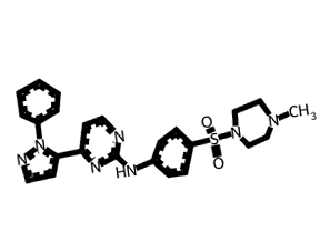 CN1CCN(S(=O)(=O)c2ccc(Nc3nccc(-c4ccnn4-c4ccccc4)n3)cc2)CC1